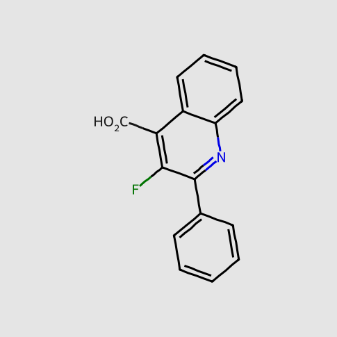 O=C(O)c1c(F)c(-c2ccccc2)nc2ccccc12